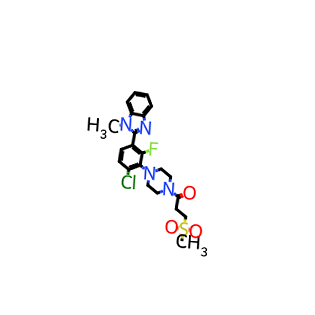 Cn1c(-c2ccc(Cl)c(N3CCN(C(=O)CCS(C)(=O)=O)CC3)c2F)nc2ccccc21